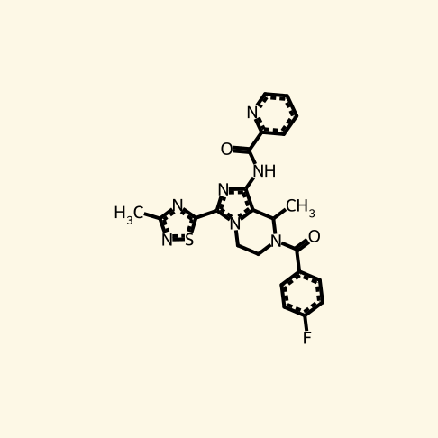 Cc1nsc(-c2nc(NC(=O)c3ccccn3)c3n2CCN(C(=O)c2ccc(F)cc2)C3C)n1